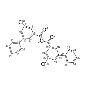 O=C(OC(=O)c1cc(Cl)cc(-c2ccccc2)c1)c1cc(Cl)cc(-c2ccccc2)c1